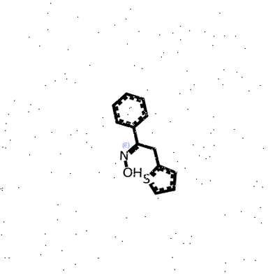 O/N=C(\Cc1cccs1)c1ccccc1